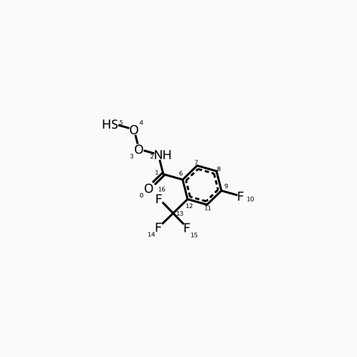 O=C(NOOS)c1ccc(F)cc1C(F)(F)F